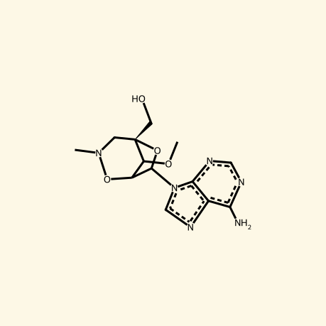 COC1C2ON(C)C[C@]1(CO)OC2n1cnc2c(N)ncnc21